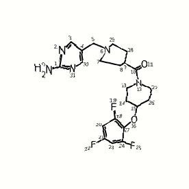 Nc1ncc(CN2CCC(C(=O)N3CCC(Oc4c(F)cc(F)cc4F)CC3)CC2)cn1